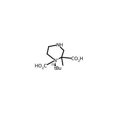 CC(C)(C)[N@@+]1(C(=O)O)CCNCC1(C)C(=O)O